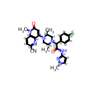 C[C@@H]1CN(c2cc(=O)n(C)c3ccc(C#N)nc23)[C@@H](C)CN1C(C(=O)Nc1ccn(C)n1)c1ccc(F)cc1